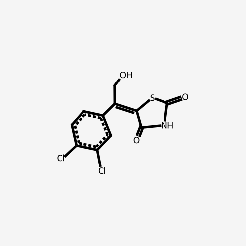 O=C1NC(=O)/C(=C(/CO)c2ccc(Cl)c(Cl)c2)S1